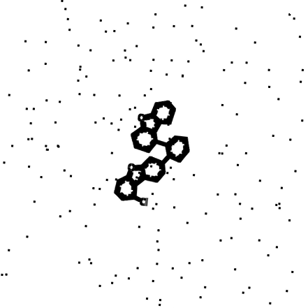 Clc1cccc2oc3cc(-c4ccccc4-c4cccc5oc6ccccc6c45)ccc3c12